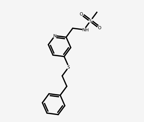 CS(=O)(=O)NCc1cc(SCCc2ccccc2)ccn1